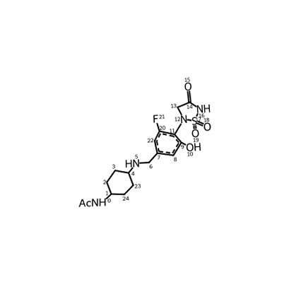 CC(=O)NC1CCC(NCc2cc(O)c(N3CC(=O)NS3(=O)=O)c(F)c2)CC1